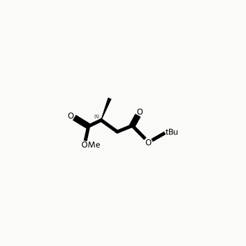 COC(=O)[C@@H](C)CC(=O)OC(C)(C)C